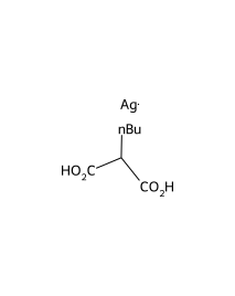 CCCCC(C(=O)O)C(=O)O.[Ag]